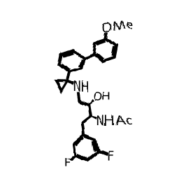 COc1cccc(-c2cccc(C3(NC[C@@H](O)[C@H](Cc4cc(F)cc(F)c4)NC(C)=O)CC3)c2)c1